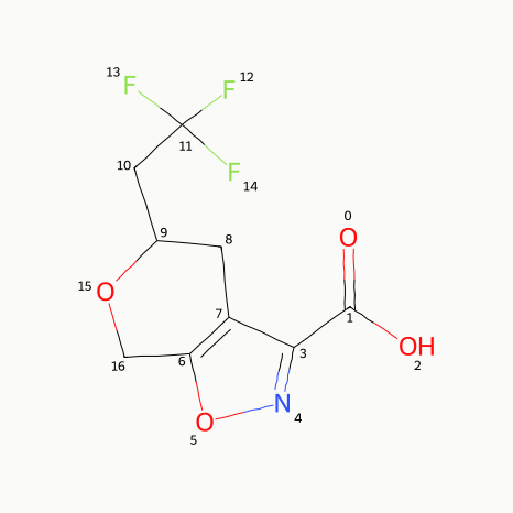 O=C(O)c1noc2c1CC(CC(F)(F)F)OC2